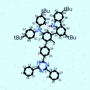 Cc1c(-c2ccc(-c3nc(-c4ccccc4)nc(-c4ccccc4)n3)cc2)cc2c3c1-c1cc(C(C)(C)C)cc4c5cc(C(C)(C)C)ccc5n(c14)B3c1cc(C(C)(C)C)ccc1N2c1ccc(C(C)(C)C)cc1